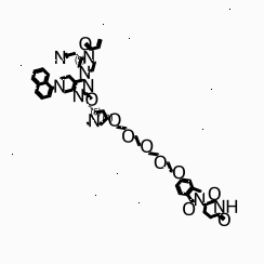 C=CC(=O)N1CCN(c2nc(OC[C@@H]3C[C@@H](OCCOCCOCCOCCOc4ccc5c(c4)CN(C4CCC(=O)NC4=O)C5=O)CN3C)nc3c2CCN(c2cccc4ccccc24)C3)C[C@@H]1CC#N